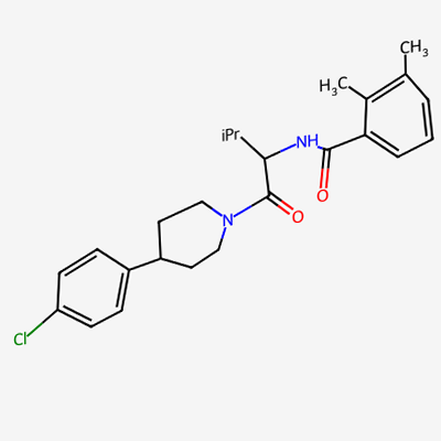 Cc1cccc(C(=O)NC(C(=O)N2CCC(c3ccc(Cl)cc3)CC2)C(C)C)c1C